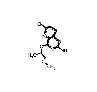 COC[C@@H](C)Oc1nc(N)nc2ccc(Cl)nc12